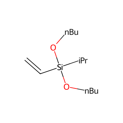 C=C[Si](OCCCC)(OCCCC)C(C)C